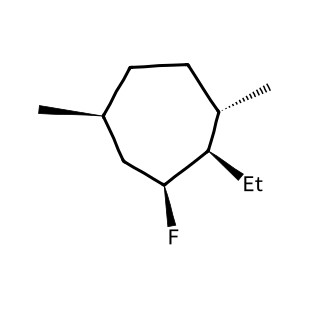 CC[C@@H]1[C@@H](C)CC[C@H](C)C[C@@H]1F